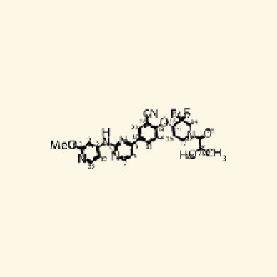 COc1cc(Nc2nccc(-c3ccc(O[C@H]4CCN(C(=O)[C@@H](C)O)CC4(F)F)c(C#N)c3)n2)ccn1